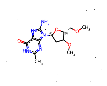 COC[C@H]1O[C@@H](n2c(N)nc3c(=O)[nH]c(C)nc32)CC1OC